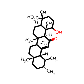 C[C@H]1[C@H](C)CC[C@]2(C)CC[C@]3(C)C(=CC(=O)[C@@H]4[C@@]5(C)C(O)CC[C@](C)(C(=O)O)[C@@H]5CC[C@]43C)[C@H]12